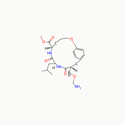 COC(=O)[C@@H]1CCCOc2ccc(cc2)C[C@H](BOCN)C(=O)N[C@@H](CC(C)C)C(=O)N1